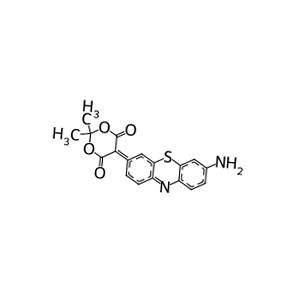 CC1(C)OC(=O)C(=c2ccc3c(c2)Sc2cc(N)ccc2N=3)C(=O)O1